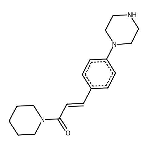 O=C(/C=C/c1ccc(N2CCNCC2)cc1)N1CCCCC1